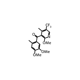 COc1cc(C)c(C(=O)c2c(OC)ncc(C(F)(F)F)c2C)cc1OC